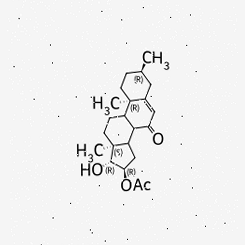 CC(=O)O[C@@H]1CC2C3C(=O)C=C4C[C@H](C)CC[C@]4(C)C3CC[C@]2(C)[C@H]1O